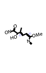 C=N/C(=C\C=C(/C)C(O)C(=O)N=O)OC